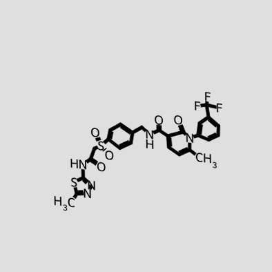 Cc1nnc(NC(=O)CS(=O)(=O)c2ccc(CNC(=O)c3ccc(C)n(-c4cccc(C(F)(F)F)c4)c3=O)cc2)s1